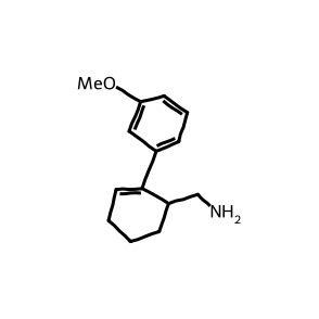 COc1cccc(C2=CCCCC2CN)c1